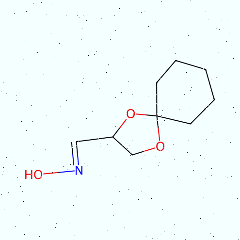 O/N=C/C1COC2(CCCCC2)O1